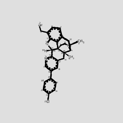 CN1CC[C@]23c4c5ccc(CO)c4O[C@H]2c2ncc(-c4ccc(Cl)cc4)cc2C[C@@]3(C)C1C5